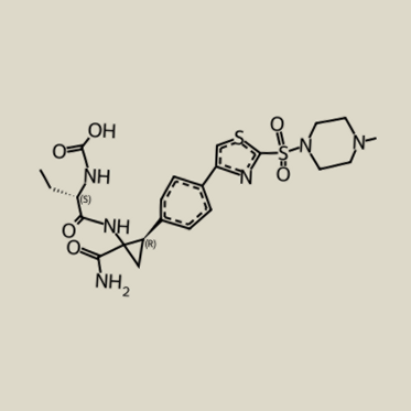 CC[C@H](NC(=O)O)C(=O)NC1(C(N)=O)C[C@@H]1c1ccc(-c2csc(S(=O)(=O)N3CCN(C)CC3)n2)cc1